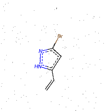 C=Cc1cc(Br)n[nH]1